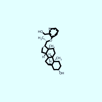 C[C@H](Oc1cccnc1CO)[C@H]1CC[C@H]2[C@@H]3CC=C4C[C@@H](O)CC[C@]4(C)[C@H]3CC[C@]12C